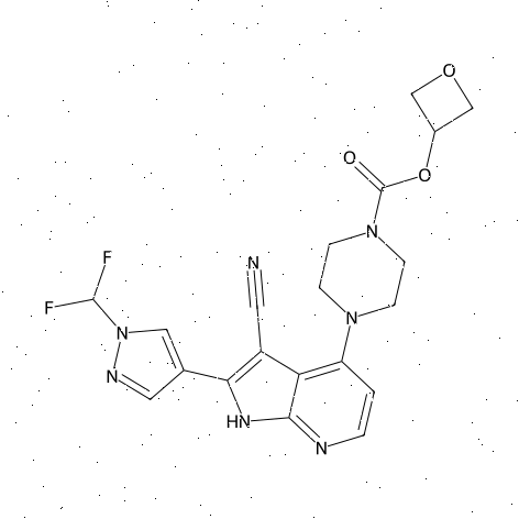 N#Cc1c(-c2cnn(C(F)F)c2)[nH]c2nccc(N3CCN(C(=O)OC4COC4)CC3)c12